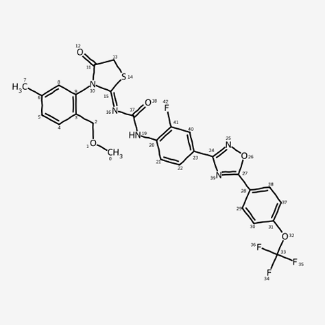 COCc1ccc(C)cc1N1C(=O)CS/C1=N\C(=O)Nc1ccc(-c2noc(-c3ccc(OC(F)(F)F)cc3)n2)cc1F